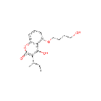 CCC(C)c1c(O)c2c(OCCCCO)cccc2oc1=O